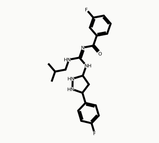 CC(C)CN/C(=N/C(=O)c1cccc(F)c1)NC1CC(c2ccc(F)cc2)NN1